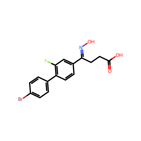 O=C(O)CCC(=NO)c1ccc(-c2ccc(Br)cc2)c(F)c1